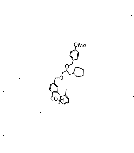 COc1ccc(COC(COCc2ccc(C(=O)O)c(-c3ccccc3C)c2)CC2CCCCC2)cc1